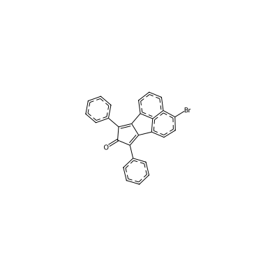 O=C1C(c2ccccc2)=C2C(=C1c1ccccc1)c1ccc(Br)c3cccc2c13